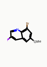 COc1cc(Br)c2ncc(I)cc2c1